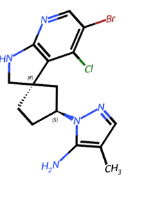 Cc1cnn([C@H]2CC[C@@]3(CNc4ncc(Br)c(Cl)c43)C2)c1N